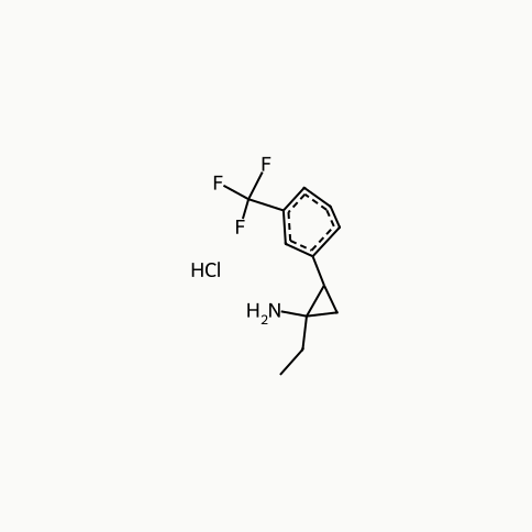 CCC1(N)CC1c1cccc(C(F)(F)F)c1.Cl